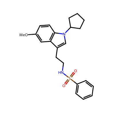 COc1ccc2c(c1)c(CCNS(=O)(=O)c1ccccc1)cn2C1CCCC1